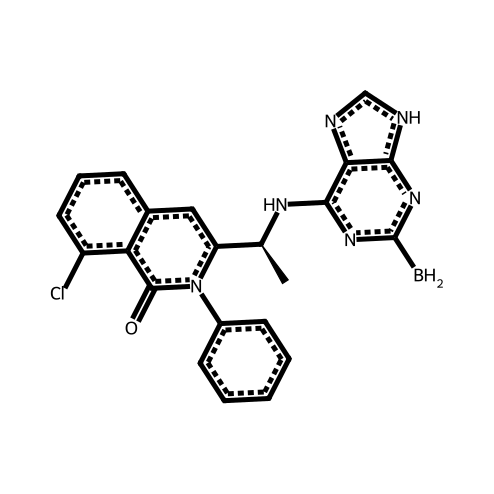 Bc1nc(N[C@@H](C)c2cc3cccc(Cl)c3c(=O)n2-c2ccccc2)c2nc[nH]c2n1